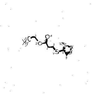 CCOC(=O)CCSc1cnns1